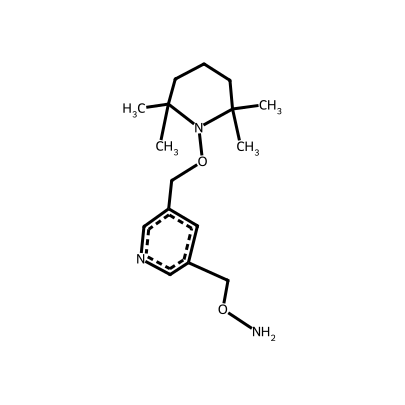 CC1(C)CCCC(C)(C)N1OCc1cncc(CON)c1